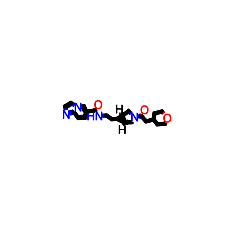 O=C(NCCC1[C@H]2CN(C(=O)CC3CCOCC3)C[C@@H]12)c1ccc2nccn2c1